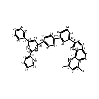 Cc1cc(C)c2ccc3ccc(-c4cccc(-c5ccc(-c6cc(-c7ccccc7)nc(-c7ccccn7)n6)cc5)c4)nc3c2n1